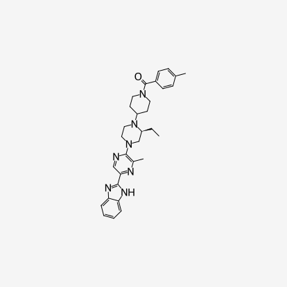 CC[C@H]1CN(c2ncc(-c3nc4ccccc4[nH]3)nc2C)CCN1C1CCN(C(=O)c2ccc(C)cc2)CC1